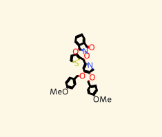 COc1ccc(COc2cnc(C(ON3C(=O)c4ccccc4C3=O)c3cccs3)cc2OCc2ccc(OC)cc2)cc1